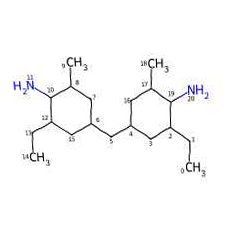 CCC1CC(CC2CC(C)C(N)C(CC)C2)CC(C)C1N